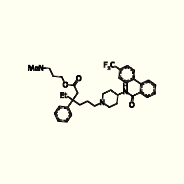 CCC(CCCN1CCC(NC(=O)c2ccccc2-c2ccc(C(F)(F)F)cc2)CC1)(CC(=O)OCCCNC)c1ccccc1